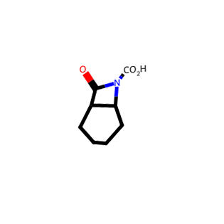 O=C(O)N1C(=O)C2CCCCC21